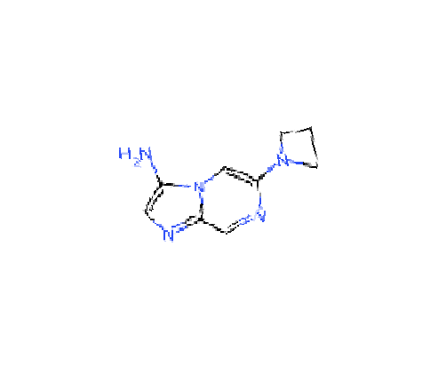 Nc1cnc2cnc(N3CCC3)cn12